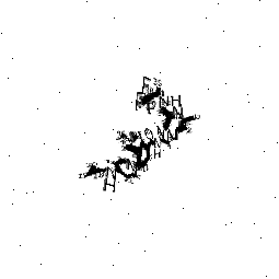 Cc1cn2cc(NC(=O)c3ccc(N4CCC(NC5CC5)CC4)c4cn(C)nc34)nc2c(CNC(C)C(F)(F)F)n1